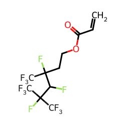 C=CC(=O)OCCC(F)(C(F)C(F)(C(F)(F)F)C(F)(F)F)C(F)(F)F